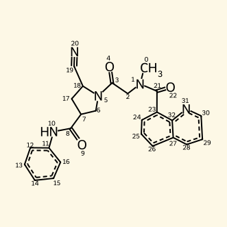 CN(CC(=O)N1CC(C(=O)Nc2ccccc2)CC1C#N)C(=O)c1cccc2cccnc12